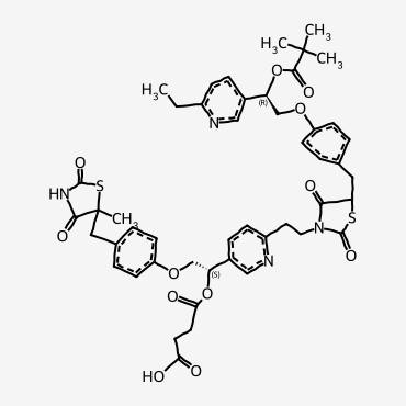 CCc1ccc([C@H](COc2ccc(CC3SC(=O)N(CCc4ccc([C@@H](COc5ccc(CC6(C)SC(=O)NC6=O)cc5)OC(=O)CCC(=O)O)cn4)C3=O)cc2)OC(=O)C(C)(C)C)cn1